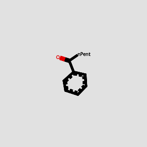 [CH2]CCCCC(=O)c1ccccc1